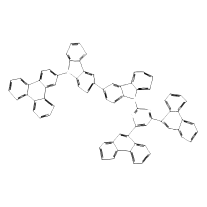 c1ccc2c(c1)cc(-c1cc(-c3cc4ccccc4c4ccccc34)nc(-n3c4ccccc4c4cc(-c5ccc6c(c5)c5ccccc5n6-c5ccc6c7ccccc7c7ccccc7c6c5)ccc43)n1)c1ccccc12